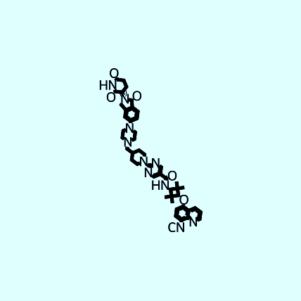 CC1(C)[C@H](NC(=O)c2cnc(N3CCC(CN4CCN(c5ccc6c(c5)CN([C@H]5CCC(=O)NC5=O)C6=O)CC4)CC3)nc2)C(C)(C)[C@H]1Oc1ccc(C#N)c2ncccc12